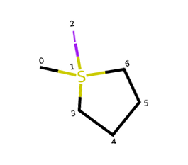 CS1(I)CCCC1